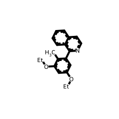 CCOc1cc(OCC)c(C)c(-c2nccc3ccccc23)c1